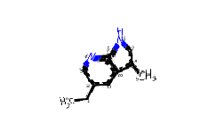 CCc1cnc2[nH]cc(C)c2c1